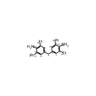 CCc1cc(Cc2cc(CC)c(N)c(C(C)C)c2)cc(C(C)C)c1N